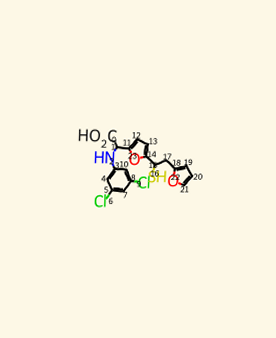 O=C(O)C(Nc1cc(Cl)cc(Cl)c1)c1ccc(C(S)Cc2ccco2)o1